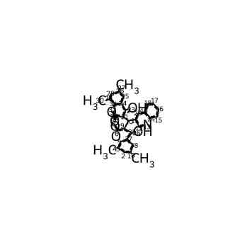 Cc1cc(C)c2oc(=O)c(C(c3cnc4ccccc4c3)c3c(O)c4cc(C)cc(C)c4oc3=O)c(O)c2c1